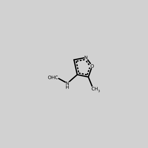 Cc1oncc1NC=O